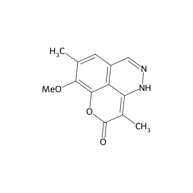 COc1c(C)cc2c3c(c(C)c(=O)oc13)NN=C2